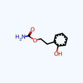 NC(=O)OCCc1ccccc1O